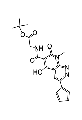 Cn1c(=O)c(C(=O)NCC(=O)OC(C)(C)C)c(O)c2cc(C3=C=CC=C3)nnc21